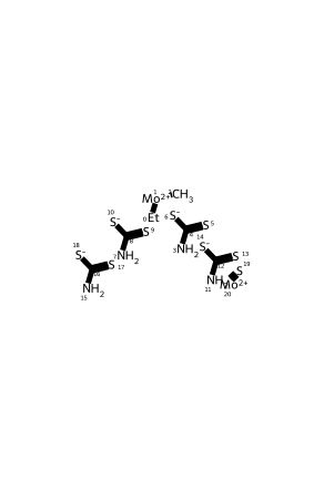 C[CH2][Mo+2][CH3].NC(=S)[S-].NC(=S)[S-].NC(=S)[S-].NC(=S)[S-].[S]=[Mo+2]